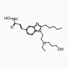 CCCCCc1nc2cc(C=CC(=O)NO)ccc2n1CCN(CC)CCCO